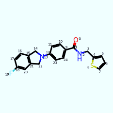 O=C(NCc1cccs1)c1ccc(N2Cc3ccc(F)cc3C2)cc1